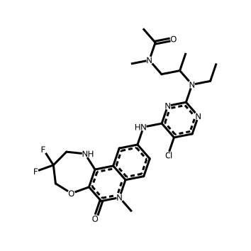 CCN(c1ncc(Cl)c(Nc2ccc3c(c2)c2c(c(=O)n3C)OCC(F)(F)CN2)n1)C(C)CN(C)C(C)=O